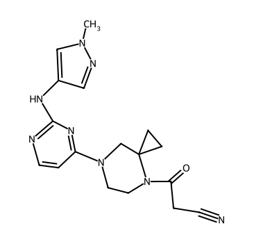 Cn1cc(Nc2nccc(N3CCN(C(=O)CC#N)C4(CC4)C3)n2)cn1